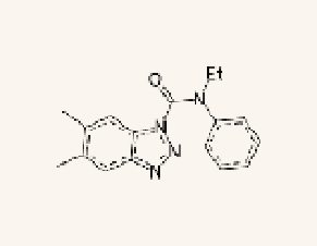 CCN(C(=O)n1nnc2cc(C)c(C)cc21)c1ccccc1